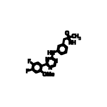 COc1cc(F)c(F)cc1-c1ncnc(Nc2cccc(CS(C)(=N)=O)c2)n1